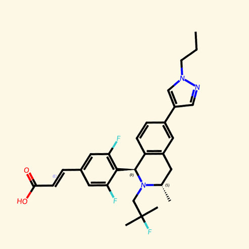 CCCn1cc(-c2ccc3c(c2)C[C@H](C)N(CC(C)(C)F)[C@H]3c2c(F)cc(/C=C/C(=O)O)cc2F)cn1